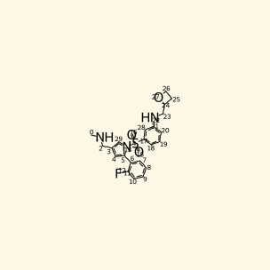 CNCc1cc(-c2ccccc2F)n(S(=O)(=O)c2cccc(NCC3CCO3)c2)c1